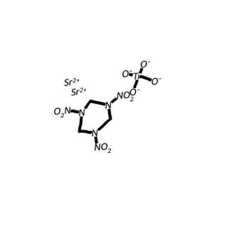 O=[N+]([O-])N1CN([N+](=O)[O-])CN([N+](=O)[O-])C1.[O-][Ti]([O-])([O-])[O-].[Sr+2].[Sr+2]